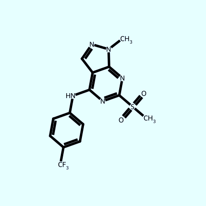 Cn1ncc2c(Nc3ccc(C(F)(F)F)cc3)nc(S(C)(=O)=O)nc21